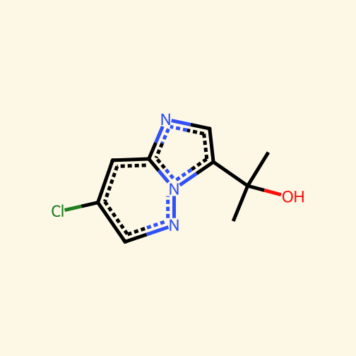 CC(C)(O)c1cnc2cc(Cl)cnn12